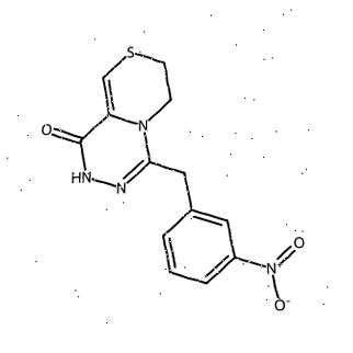 O=C1NN=C(Cc2cccc([N+](=O)[O-])c2)N2CCSC=C12